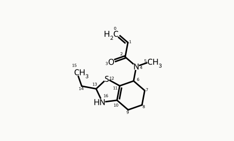 C=CC(=O)N(C)C1CCCC2=C1SC(CC)N2